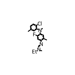 CCN(C)C=Nc1cc(F)c(N(C)c2cc(C)ccc2Cl)cc1C